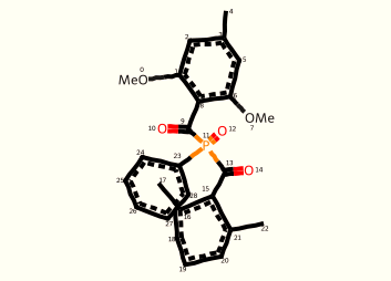 COc1cc(C)cc(OC)c1C(=O)P(=O)(C(=O)c1c(C)cccc1C)c1ccccc1